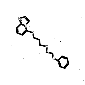 c1ccc(OCCOCCCSc2cccc3nccn23)cc1